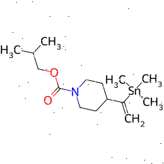 C=[C](C1CCN(C(=O)OCC(C)C)CC1)[Sn]([CH3])([CH3])[CH3]